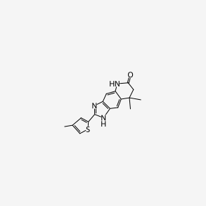 Cc1csc(-c2nc3cc4c(cc3[nH]2)C(C)(C)CC(=O)N4)c1